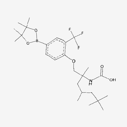 CC(CC(C)(C)C)CC(C)(COc1ccc(B2OC(C)(C)C(C)(C)O2)cc1C(F)(F)F)NC(=O)O